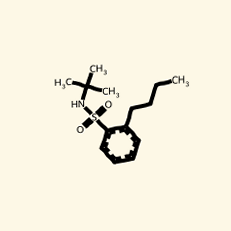 CCCCc1ccccc1S(=O)(=O)NC(C)(C)C